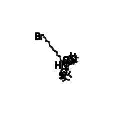 CC(C)[Si](OCC(CO[Si](C(C)C)(C(C)C)C(C)C)NC(=O)CCCCCCCCCCBr)(C(C)C)C(C)C